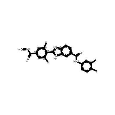 Cc1ccc(NC(=O)c2ccc3nc(-c4c(C)cc(C(=O)N=O)cc4C)[nH]c3c2)cc1C